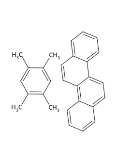 Cc1cc(C)c(C)cc1C.c1ccc2c(c1)ccc1c3ccccc3ccc21